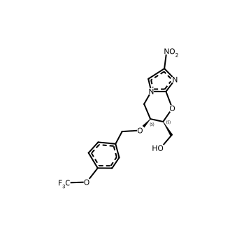 O=[N+]([O-])c1cn2c(n1)O[C@@H](CO)[C@@H](OCc1ccc(OC(F)(F)F)cc1)C2